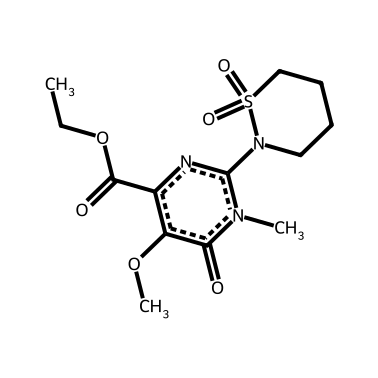 CCOC(=O)c1nc(N2CCCCS2(=O)=O)n(C)c(=O)c1OC